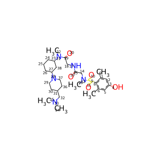 Cc1cc(O)cc(C)c1S(=O)(=O)N(C)CC(=O)NCC(=O)N(C)C1CCCC(N2CCC(CN(C)C)CC2)C1